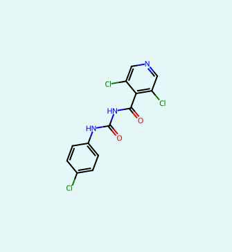 O=C(NC(=O)c1c(Cl)cncc1Cl)Nc1ccc(Cl)cc1